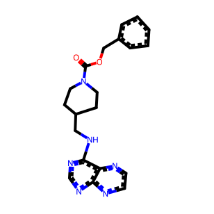 O=C(OCc1ccccc1)N1CCC(CNc2ncnc3nccnc23)CC1